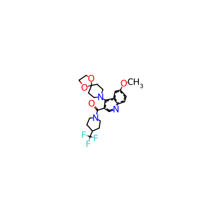 COc1ccc2ncc(C(=O)N3CCC(C(F)(F)F)CC3)c(N3CCC4(CC3)OCCO4)c2c1